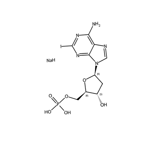 Nc1nc(I)nc2c1ncn2[C@H]1C[C@H](O)[C@@H](COP(=O)(O)O)O1.[NaH]